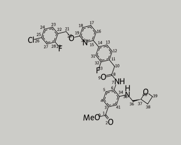 COC(=O)c1ccc(NC(=O)Cc2ccc(-c3cccc(OCc4ccc(Cl)cc4F)n3)cc2F)c(NC[C@@H]2CCO2)c1